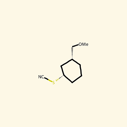 COC[C@@H]1CCC[C@H](SC#N)C1